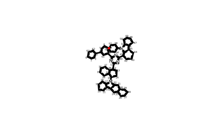 c1ccc(-c2cccc(-c3nc(-c4ccc(-n5c6ccccc6c6cc7ccccc7cc65)c5ccccc45)nc(-c4cccc5c6ccccc6n(-c6ccccc6)c45)n3)c2)cc1